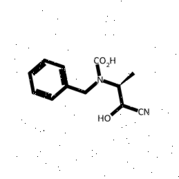 C[C@@H](C(O)C#N)N(Cc1ccccc1)C(=O)O